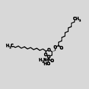 CCCCCCCCCCCC(=O)OC[C@H](COP(N)(=O)O)OC(=O)CCCCCCCCCCC